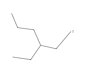 [CH]CC(CC)CCC